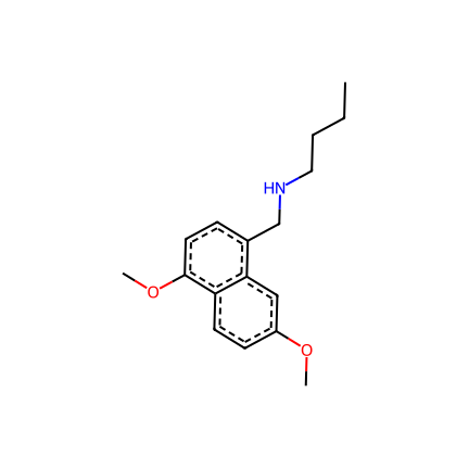 CCCCNCc1ccc(OC)c2ccc(OC)cc12